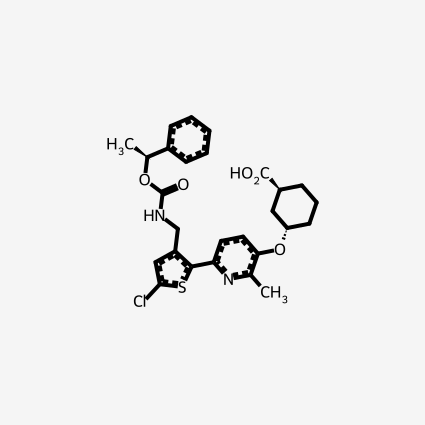 Cc1nc(-c2sc(Cl)cc2CNC(=O)O[C@@H](C)c2ccccc2)ccc1O[C@H]1CCC[C@H](C(=O)O)C1